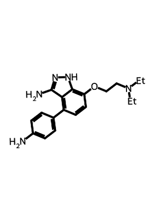 CCN(CC)CCOc1ccc(-c2ccc(N)cc2)c2c(N)n[nH]c12